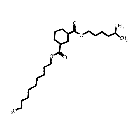 CCCCCCCCCCOC(=O)C1CCCC(C(=O)OCCCCC(C)C)C1